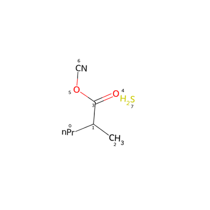 CCCC(C)C(=O)OC#N.S